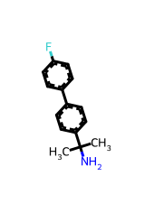 CC(C)(N)c1ccc(-c2ccc(F)cc2)cc1